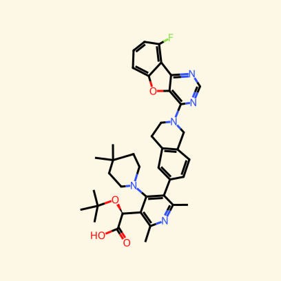 Cc1nc(C)c([C@H](OC(C)(C)C)C(=O)O)c(N2CCC(C)(C)CC2)c1-c1ccc2c(c1)CCN(c1ncnc3c1oc1cccc(F)c13)C2